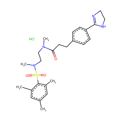 Cc1cc(C)c(S(=O)(=O)N(C)CCN(C)C(=O)CCc2ccc(C3=NCCN3)cc2)c(C)c1.Cl